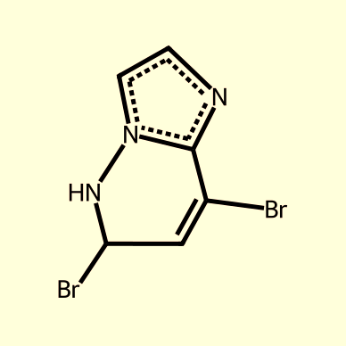 BrC1=CC(Br)Nn2ccnc21